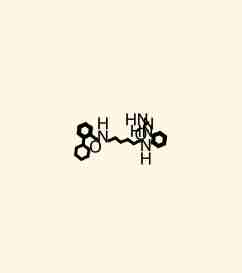 N=NNc1ccccc1NC(=O)CCCCCNC(=O)c1ccccc1C1CCCCC1